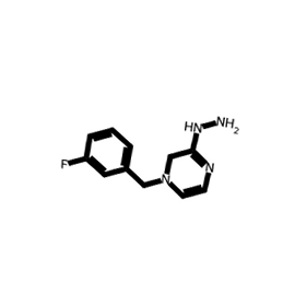 NNC1=NC=CN(Cc2cccc(F)c2)C1